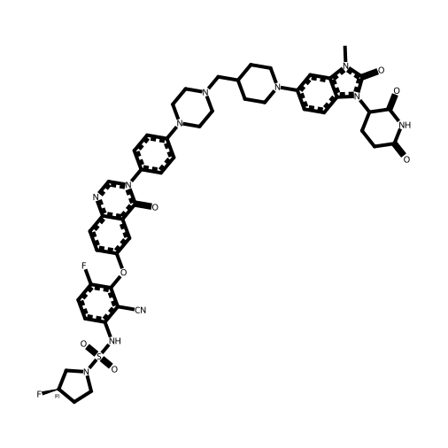 Cn1c(=O)n(C2CCC(=O)NC2=O)c2ccc(N3CCC(CN4CCN(c5ccc(-n6cnc7ccc(Oc8c(F)ccc(NS(=O)(=O)N9CC[C@@H](F)C9)c8C#N)cc7c6=O)cc5)CC4)CC3)cc21